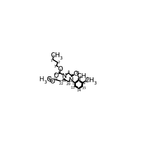 CCCCOC(=O)N1CC(=O)N(c2cccc(C)c2C)C[C@@H]1CCOC